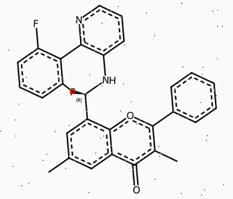 Cc1cc([C@@H](C)Nc2cccnc2-c2c(F)cccc2F)c2oc(-c3ccccc3)c(C)c(=O)c2c1